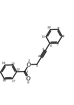 O=C(OCC#Cc1ccccc1)c1ccccc1